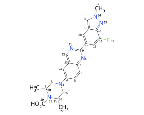 C[C@@H]1CN(c2ccc3nc(-c4cc(F)c5nn(C)cc5c4)ncc3c2)C[C@H](C)N1C(=O)O